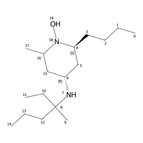 CCCC[C@H]1C[C@H](NC(C)(CC)CCC)CC(C)N1O